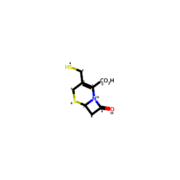 O=C(O)C1=C(CS)CSC2CC(=O)N12